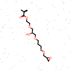 C=C(C)C(=O)OCCOCC(O)COCCCCOCC1CO1